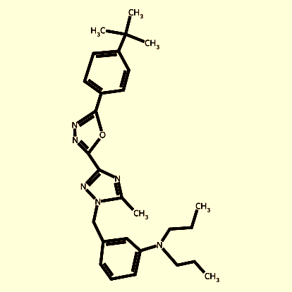 CCCN(CCC)c1cccc(Cn2nc(-c3nnc(-c4ccc(C(C)(C)C)cc4)o3)nc2C)c1